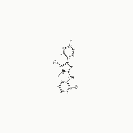 Cc1ccc(-n2nc(Nc3ccccc3Cl)c(C)c2O)cc1